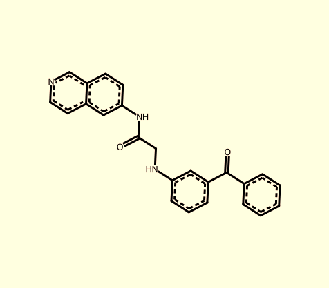 O=C(CNc1cccc(C(=O)c2ccccc2)c1)Nc1ccc2cnccc2c1